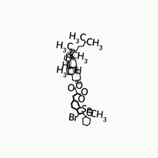 COC1(c2[se]c3c(ccc4cc(C(=O)O[C@H]5CC[C@@]6(C)C(=CC[C@H]7[C@@H]8CC[C@H]([C@H](C)CCCC(C)C)[C@@]8(C)CC[C@@H]76)C5)c(=O)oc43)c2Br)CCCCC1